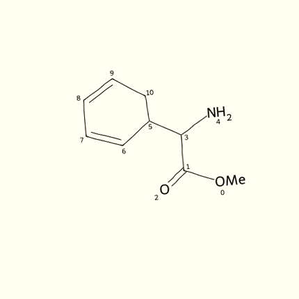 COC(=O)C(N)C1C=CC=CC1